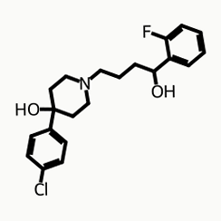 OC(CCCN1CCC(O)(c2ccc(Cl)cc2)CC1)c1ccccc1F